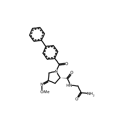 CO/N=C1\C[C@@H](C(=O)NCC(N)=O)N(C(=O)c2ccc(-c3ccccc3)cc2)C1